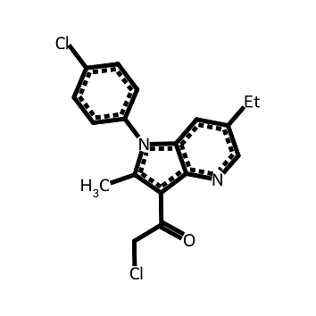 CCc1cnc2c(C(=O)CCl)c(C)n(-c3ccc(Cl)cc3)c2c1